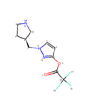 O=C(Oc1ccn(C[C@H]2CCNC2)n1)C(F)(F)F